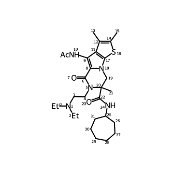 CCN(CC)CCN1C(=O)c2c(NC(C)=O)c3c(C)c(C)sc3n2CC1(C)C(=O)NC1CCCCCC1